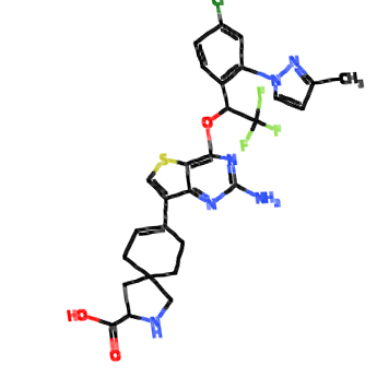 Cc1ccn(-c2cc(Cl)ccc2C(Oc2nc(N)nc3c(C4=CCC5(CC4)CNC(C(=O)O)C5)csc23)C(F)(F)F)n1